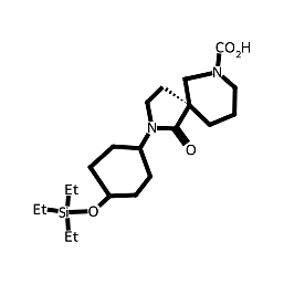 CC[Si](CC)(CC)OC1CCC(N2CC[C@]3(CCCN(C(=O)O)C3)C2=O)CC1